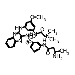 COc1cc(NC(=O)CN(C)C)cc(Nc2nc3ccccc3nc2NS(=O)(=O)c2cccc(NC(=O)CC(C)N)c2)c1